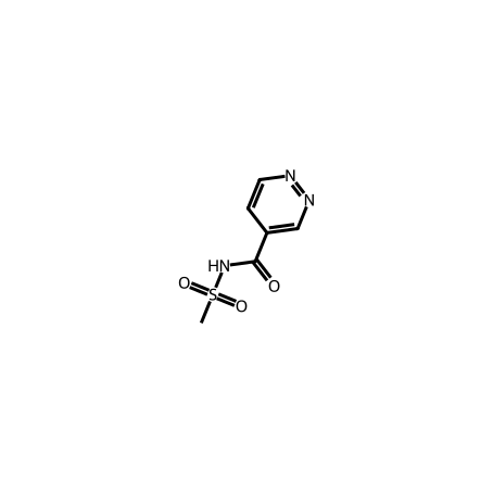 CS(=O)(=O)NC(=O)c1ccnnc1